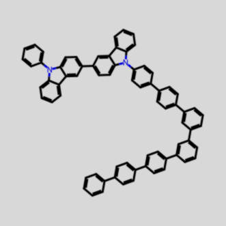 c1ccc(-c2ccc(-c3ccc(-c4cccc(-c5cccc(-c6ccc(-c7ccc(-n8c9ccccc9c9cc(-c%10ccc%11c(c%10)c%10ccccc%10n%11-c%10ccccc%10)ccc98)cc7)cc6)c5)c4)cc3)cc2)cc1